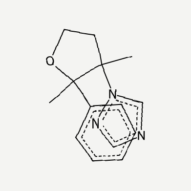 CC1(c2ccccc2)OCCC1(C)n1cncn1